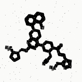 CSc1nnnn1/C=C/C(=O)N1CCN(c2nc(OC[C@@H]3CCCN3C)nc3c2CCN(c2cccc4cccc(Cl)c24)C3)C[C@@H]1CC#N